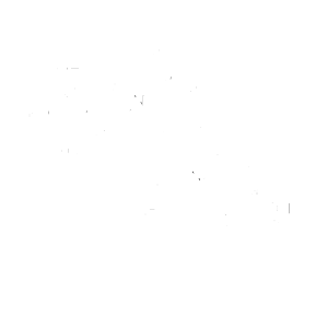 CCC1(CC)CN(c2c(F)cc3c(=O)c(C(=O)O)cn4c3c2CCC4C)CC[C@@H]1O